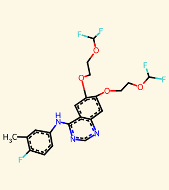 Cc1cc(Nc2ncnc3cc(OCCOC(F)F)c(OCCOC(F)F)cc23)ccc1F